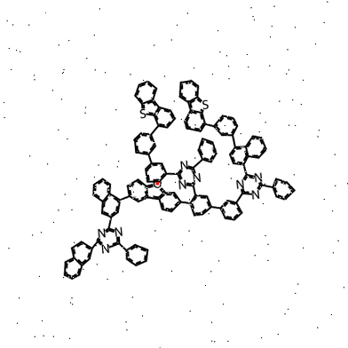 c1ccc(-c2nc(-c3ccc4ccccc4c3)nc(-c3cc(-c4ccc5oc6cc(-c7ccc(-c8cccc(-c9nc(-c%10ccccc%10)nc(-c%10ccc(-c%11cccc(-c%12cccc%13c%12sc%12ccccc%12%13)c%11)c%11ccccc%10%11)n9)c8)cc7-c7nc(-c8ccccc8)nc(-c8cccc(-c9cccc(-c%10cccc%11c%10sc%10ccccc%10%11)c9)c8)n7)ccc6c5c4)c4ccccc4c3)n2)cc1